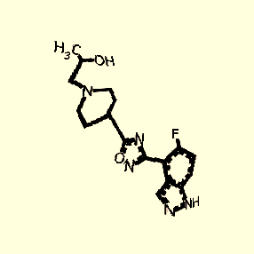 CC(O)CN1CCC(c2nc(-c3c(F)ccc4[nH]ncc34)no2)CC1